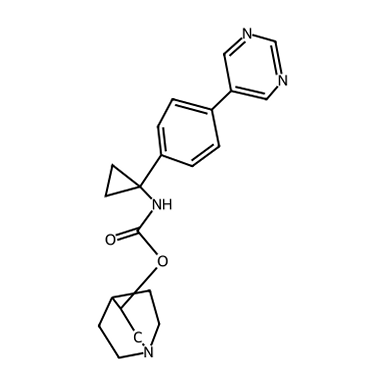 O=C(NC1(c2ccc(-c3cncnc3)cc2)CC1)OC1CN2CCC1CC2